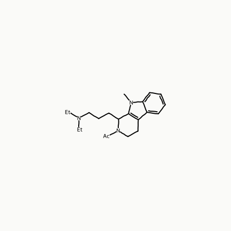 CCN(CC)CCCC1c2c(c3ccccc3n2C)CCN1C(C)=O